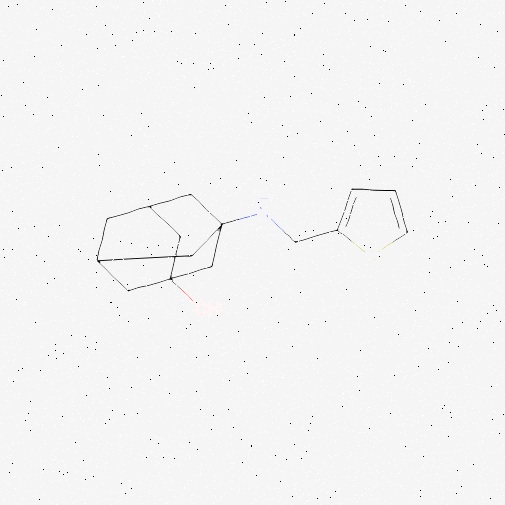 OC12CC3CC(C1)CC(NCc1cccs1)(C3)C2